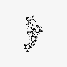 C=C(C)C(=O)N1CCC(n2c(=O)n(-c3ccc(Oc4ccccc4)cc3)c3cnccc32)C1